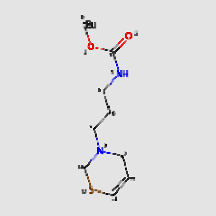 CC(C)(C)OC(=O)NCCCN1CC=CSC1